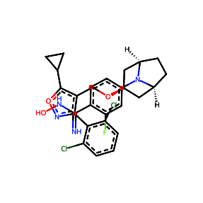 N=C(NO)c1ccc(N2[C@@H]3CC[C@H]2C[C@@H](OCc2c(-c4c(Cl)cccc4Cl)noc2C2CC2)C3)cc1F